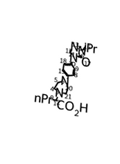 CCCC(C(=O)O)N1CCN(c2ccc(-n3cnn(C(C)C)c3=O)cc2)CC1